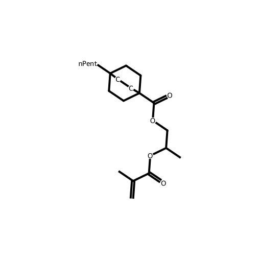 C=C(C)C(=O)OC(C)COC(=O)C12CCC(CCCCC)(CC1)CC2